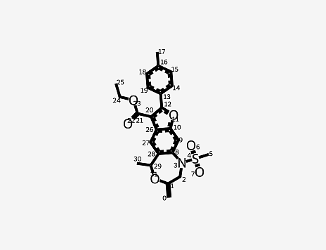 C=C1CN(S(C)(=O)=O)c2cc3oc(-c4ccc(C)cc4)c(C(=O)OCC)c3cc2C(C)O1